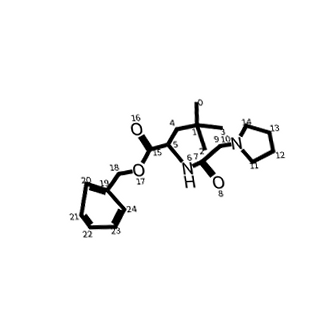 CC(C)(C)CC(NC(=O)CN1CCCC1)C(=O)OCc1ccccc1